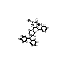 CC(C)(C)OC(=O)NC(Cc1ccccc1)C(=O)N1CCN(C(c2ccc(F)cc2)c2ccc(F)cc2)CC1